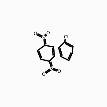 Clc1ccccc1.O=S(=O)=C1C=CC(=S(=O)=O)C=C1